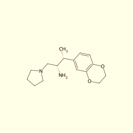 C[C@H](c1ccc2c(c1)OCCO2)[C@H](N)CN1CCCC1